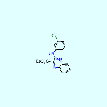 CCOC(=O)c1nc2ccccc2nc1Nc1cccc(Cl)c1